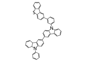 C1=CC2c3cc(-c4ccc5c(c4)c4ccccc4n5-c4cccc(-c5ccc6sc7ccccc7c6c5)c4)ccc3N(c3ccccc3)C2C=C1